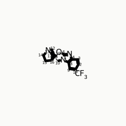 FC(F)(F)c1ccc2nc3n(c2c1)C[C@]1(CN2CCC1CC2)O3